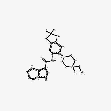 CC1(C)Cc2cc(NC(=O)c3cnn4cccnc34)c(N3CCC(F)(CN)CC3)cc2O1